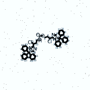 O=[PH](OCCC(Cl)c1ncn(C(c2ccccc2)(c2ccccc2)c2ccccc2)n1)OCCC(Cl)c1ncn(C(c2ccccc2)(c2ccccc2)c2ccccc2)n1